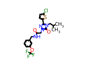 CC(C)Cn1c(-c2ccc(Cl)s2)nn(CC(=O)NCc2cccc(OC(F)(F)F)c2)c1=O